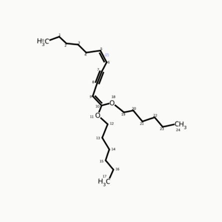 CCCCC/C=C\C#CC=C(OCCCCCC)OCCCCCC